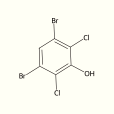 Oc1c(Cl)c(Br)cc(Br)c1Cl